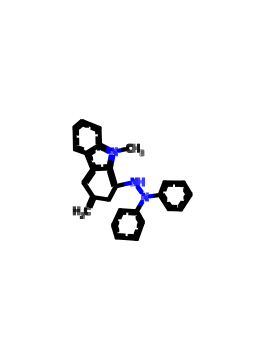 C=C1C=c2c(n(C)c3ccccc23)=C(NN(c2ccccc2)c2ccccc2)C1